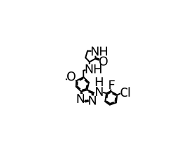 COc1cc2ncnc(Nc3cccc(Cl)c3F)c2cc1CNC1CCNC1=O